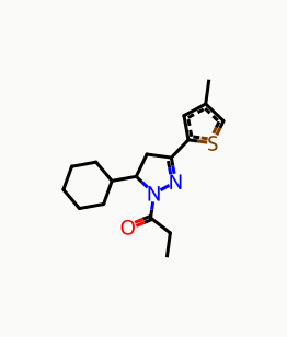 CCC(=O)N1N=C(c2cc(C)cs2)CC1C1CCCCC1